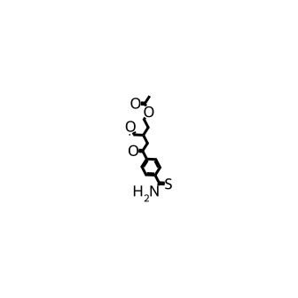 CC(=O)OCCC([C]=O)CC(=O)c1ccc(C(N)=S)cc1